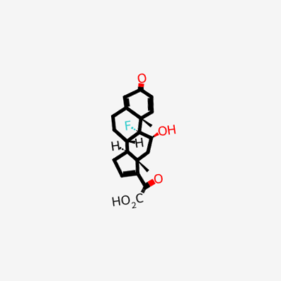 C[C@]12C=CC(=O)C=C1CC[C@H]1[C@@H]3CC=C(C(=O)C(=O)O)[C@@]3(C)C[C@H](O)[C@@]12F